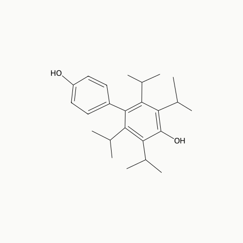 CC(C)c1c(O)c(C(C)C)c(C(C)C)c(-c2ccc(O)cc2)c1C(C)C